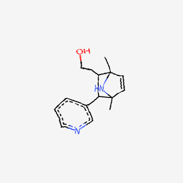 CC12C=CC(C)(N1)C(c1cccnc1)C2CO